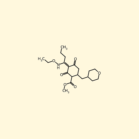 CCCC(NOCC)=C1C(=O)CC(CC2CCOCC2)C(C(=O)OC)C1=O